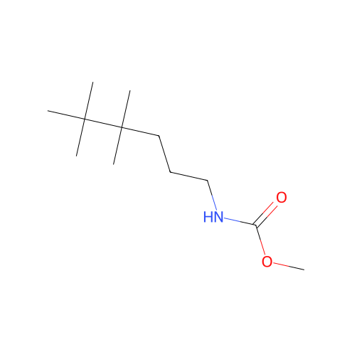 COC(=O)NCCCC(C)(C)C(C)(C)C